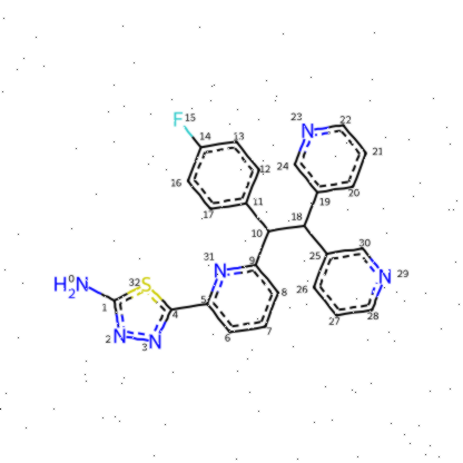 Nc1nnc(-c2cccc(C(c3ccc(F)cc3)C(c3cccnc3)c3cccnc3)n2)s1